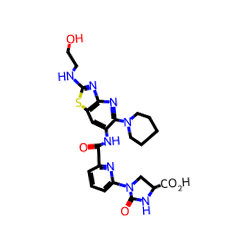 O=C(Nc1cc2sc(NCCO)nc2nc1N1CCCCC1)c1cccc(N2CC(C(=O)O)NC2=O)n1